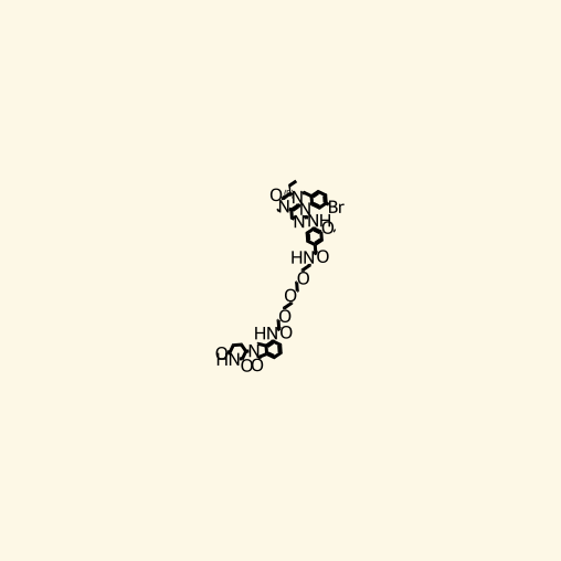 CC[C@@H]1C(=O)N(C)c2cnc(Nc3ccc(C(=O)NCCOCCOCCOCC(=O)Nc4cccc5c4CN(C4CCC(=O)NC4=O)C5=O)cc3OC)nc2N1Cc1ccc(Br)cc1